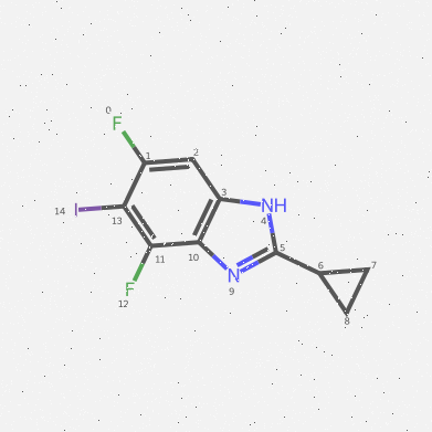 Fc1cc2[nH]c(C3CC3)nc2c(F)c1I